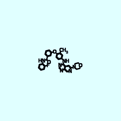 Cc1cc(Nc2ncnc3cnc(N4CCOCC4)cc23)ccc1Oc1cccc(C(=O)Nc2ccccc2F)c1